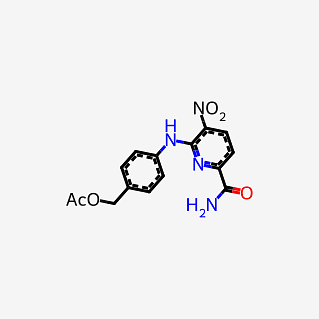 CC(=O)OCc1ccc(Nc2nc(C(N)=O)ccc2[N+](=O)[O-])cc1